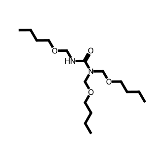 CCCCOCNC(=O)N(COCCCC)COCCCC